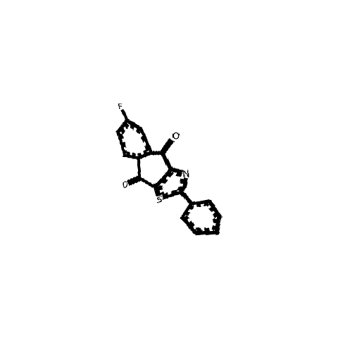 O=C1c2cc(F)ccc2C(=O)c2sc(-c3ccccc3)nc21